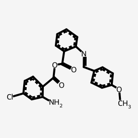 COc1ccc(C=Nc2ccccc2C(=O)OC(=O)c2ccc(Cl)cc2N)cc1